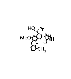 COc1cc2c(cc1Cc1cccc(C)c1F)CC(n1nn[nH]c1=O)=CC2[C@H](CO)C(C)C